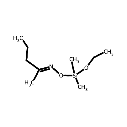 CCCC(C)=NO[Si](C)(C)OCC